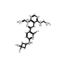 C=CNc1ncnc(NCC)c1CC(=O)c1ccc(NC2CC(F)(F)C2)nc1F